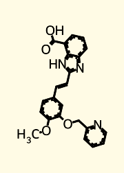 COc1ccc(C=Cc2nc3cccc(C(=O)O)c3[nH]2)cc1OCc1ccccn1